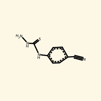 N#Cc1ccc(NC(=S)NN)cc1